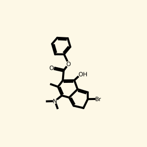 Cc1c(C(=O)Oc2ccccc2)c(O)c2c(c1N(C)C)=CCC(Br)C=2